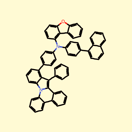 c1ccc(-c2c3c(-c4ccc(N(c5ccc(-c6cccc7ccccc67)cc5)c5cccc6oc7ccccc7c56)cc4)cccc3n3c4ccccc4c4ccccc4c23)cc1